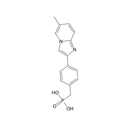 Cc1ccc2nc(-c3ccc(CP(=O)(O)O)cc3)cn2c1